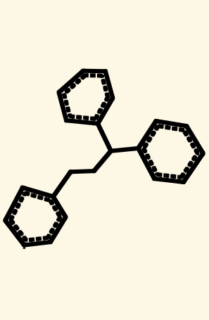 [c]1ccc(CCC(c2ccccc2)c2ccccc2)cc1